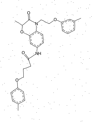 Cc1ccc(OCCCC(=O)Nc2ccc3c(c2)OC(C)C(=O)N3CCOc2cccc(C)c2)cc1